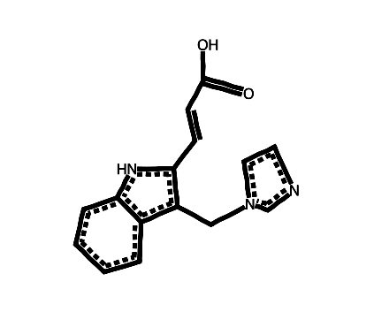 O=C(O)C=Cc1[nH]c2ccccc2c1Cn1ccnc1